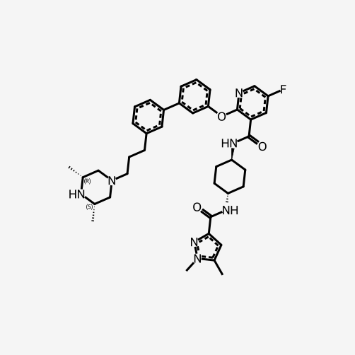 Cc1cc(C(=O)N[C@H]2CC[C@H](NC(=O)c3cc(F)cnc3Oc3cccc(-c4cccc(CCCN5C[C@@H](C)N[C@@H](C)C5)c4)c3)CC2)nn1C